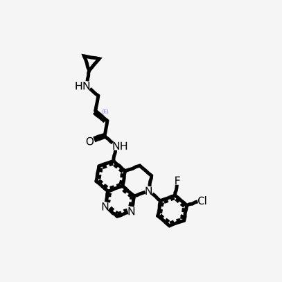 O=C(/C=C/CNC1CC1)Nc1ccc2ncnc3c2c1CCN3c1cccc(Cl)c1F